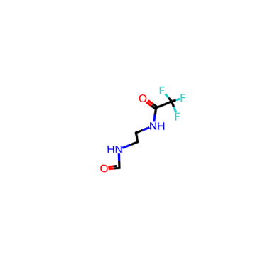 O=CNCCNC(=O)C(F)(F)F